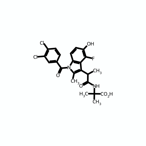 Cc1c(C(C)C(=O)NC(C)(C)C(=O)O)c2c(F)c(O)ccc2n1C(=O)c1ccc(Cl)c(Cl)c1